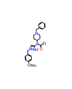 CCC(=O)N(c1cn(Cc2ccc(OC)cc2)[nH]1)C1CCN(Cc2ccccc2)CC1